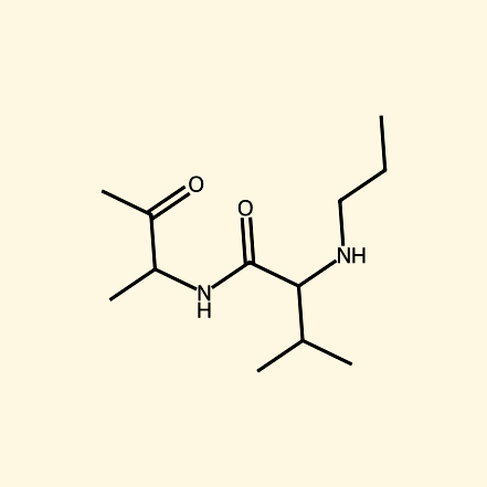 CCCNC(C(=O)NC(C)C(C)=O)C(C)C